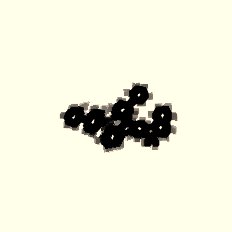 CC1(C)c2cc3c(cc2-c2c1ccc1ccccc21)C1(C)c2cc(-c4ccccc4)ccc2N(c2ccc(-c4ccccc4)cc2)c2cccc-3c21